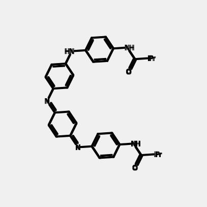 CC(C)C(=O)Nc1ccc(N=C2C=CC(=Nc3ccc(Nc4ccc(NC(=O)C(C)C)cc4)cc3)C=C2)cc1